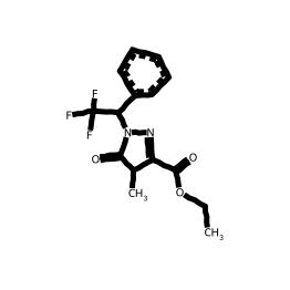 CCOC(=O)C1=NN(C(c2ccccc2)C(F)(F)F)C(=O)C1C